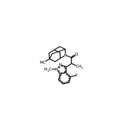 CC(C(=O)N1C2CC3CC1CC(C#N)(C3)C2)c1nn(C)c2cccc(F)c12